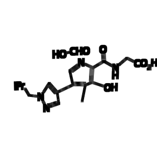 Cc1c(-c2cnn(CC(C)C)c2)cnc(C(=O)NCC(=O)O)c1O.O=CO